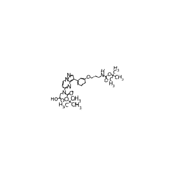 CC(C)(C)OC(=O)NCCCOc1cccc(-c2cnn3ccc(N(CC(=O)O)C(=O)OC(C)(C)C)nc23)c1